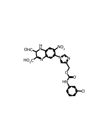 O=CC1Nc2cc([N+](=O)[O-])c(-n3cnc(COC(=O)Nc4cccc(Cl)c4)c3)cc2N=C1C(=O)O